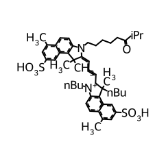 CCCC[N+]1=C(/C=C/C=C2/N(CCCCCC(=O)C(C)C)c3ccc4c(C)cc(S(=O)(=O)O)cc4c3C2(C)C)C(C)(CCCC)c2c1ccc1c(C)cc(S(=O)(=O)O)cc21